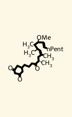 CCCCC/C=C/[C@H](OC)[C@@H](C)[C@H](C)/C=C(/C)C[C@H](C)C(=O)CCCC1CC(=O)CC(=O)C1